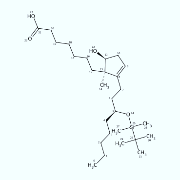 CCCCC[C@@H](CCC1=CC[C@H](O)[C@]1(C)CCCCCCC(=O)O)O[Si](C)(C)C(C)(C)C